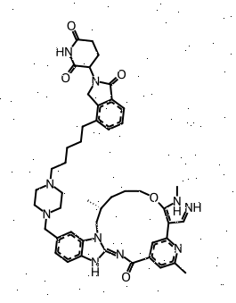 CN/C1=C(\C=N)c2cc(cc(C)n2)C(=O)/N=C2\Nc3ccc(CN4CCN(CCCCCc5cccc6c5CN(C5CCC(=O)NC5=O)C6=O)CC4)cc3N2C[C@H](C)CCCO1